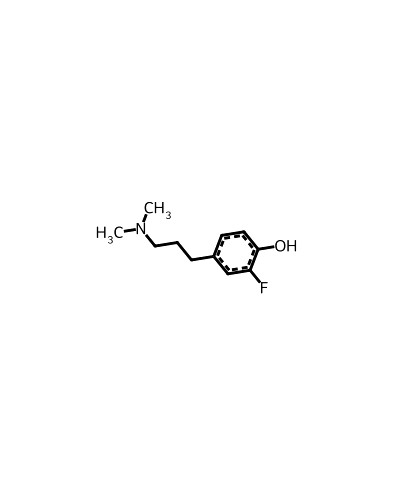 CN(C)CCCc1ccc(O)c(F)c1